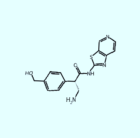 NC[C@@H](C(=O)Nc1nc2ccncc2s1)c1ccc(CO)cc1